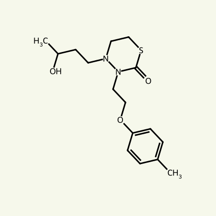 Cc1ccc(OCCN2C(=O)SCCN2CCC(C)O)cc1